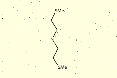 CSCC[N]CCSC